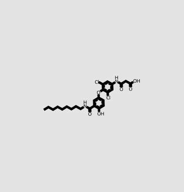 CCCCCCCCCNC(=O)c1cc(Oc2c(Cl)cc(NC(=O)CC(=O)O)cc2Cl)ccc1O